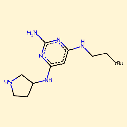 CC(C)(C)CCNc1cc(NC2CCNC2)nc(N)n1